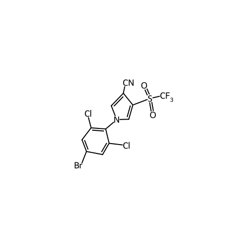 N#Cc1cn(-c2c(Cl)cc(Br)cc2Cl)cc1S(=O)(=O)C(F)(F)F